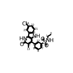 CCNS(=O)(=O)c1cccc(-c2c(C)c(=O)[nH]c3c2[nH]c2ccc(Cl)cc23)c1